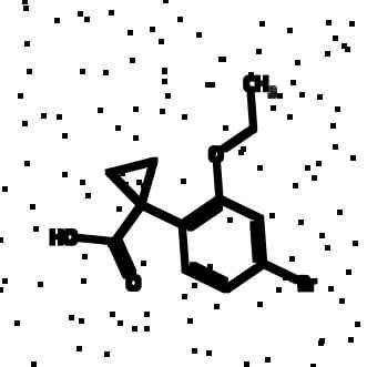 CCOc1cc(Br)ccc1C1(C(=O)O)CC1